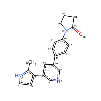 Cc1[nH]ccc1-c1cncc(-c2ccc(N3CCCC3=O)cc2)c1